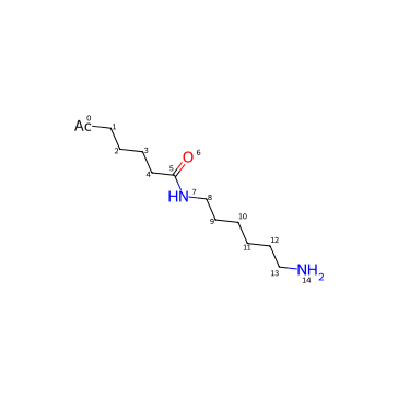 CC(=O)CCCCC(=O)NCCCCCCN